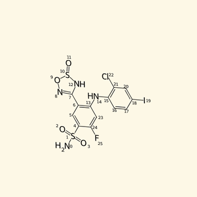 NS(=O)(=O)c1cc(C2=NOS(=O)N2)c(Nc2ccc(I)cc2Cl)cc1F